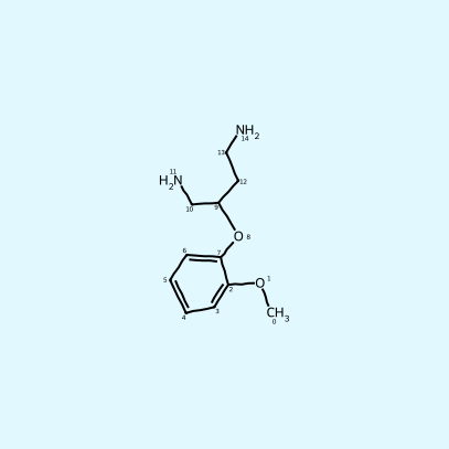 COc1ccccc1OC(CN)CCN